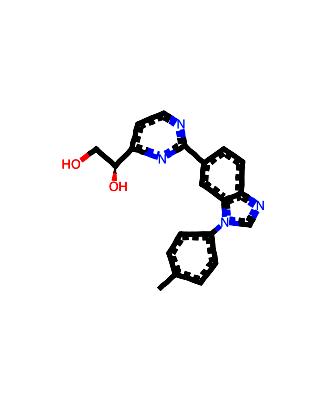 Cc1ccc(-n2cnc3ccc(-c4nccc([C@@H](O)CO)n4)cc32)cc1